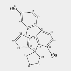 CC(C)(C)c1ccc2c(c1)Cc1c-2ccc(C(C)(C)C)c1C1(C2=CC=CC2)CCCC1